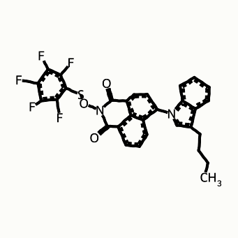 CCCCc1cn(-c2ccc3c4c(cccc24)C(=O)N(OSc2c(F)c(F)c(F)c(F)c2F)C3=O)c2ccccc12